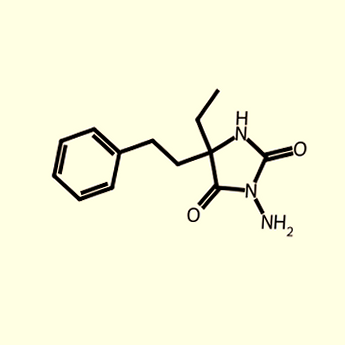 CCC1(CCc2ccccc2)NC(=O)N(N)C1=O